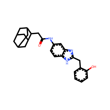 O=C(CC1C2CC3CC(C2)CC1C3)Nc1ccc2[nH]c(Cc3ccccc3O)nc2c1